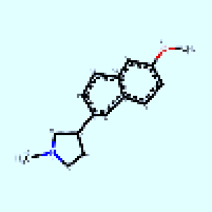 COc1ccc2cc(C3CCN(C)C3)ccc2c1